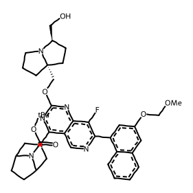 COCOc1cc(-c2ncc3c(N4CC5CCC(C4)N5C(=O)OC(C)(C)C)nc(OC[C@]45CCCN4[C@@H](CO)CC5)nc3c2F)c2ccccc2c1